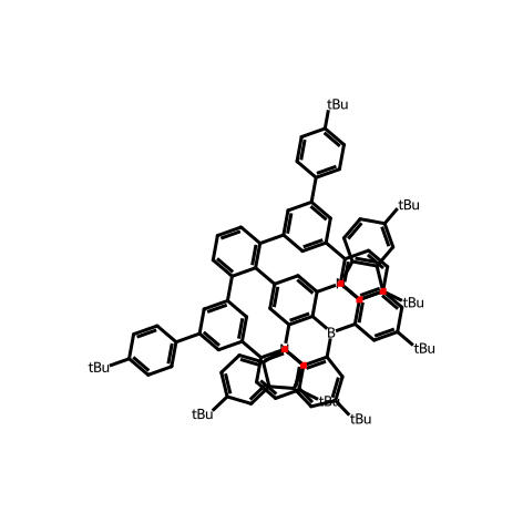 CC(C)(C)c1ccc(-c2cc(-c3ccc(C(C)(C)C)cc3)cc(-c3cccc(-c4cc(-c5ccc(C(C)(C)C)cc5)cc(-c5ccc(C(C)(C)C)cc5)c4)c3-c3cc4c5c(c3)-n3c6ccc(C(C)(C)C)cc6c6cc(C(C)(C)C)cc(c63)B5c3cc(C(C)(C)C)cc5c6cc(C(C)(C)C)ccc6n-4c35)c2)cc1